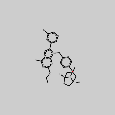 CCOc1nc(C)c2nc(-c3cncc(F)c3)n(Cc3ccc(CN4[C@@H]5CC[C@H]4CN(C)C5)cc3)c2n1